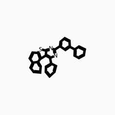 c1ccc(-c2cccc(-c3nc(-c4ccccc4)c4c(n3)sc3ccc5ccccc5c34)c2)cc1